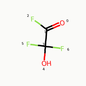 O=C(F)C(O)(F)F